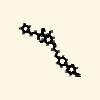 CCc1cnc(N2CCC(CCCOc3cc(C)c(C(=O)NCCN4CCCC4)c(C)c3)CC2)nc1